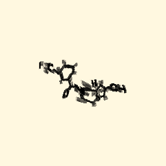 O=C(c1cccc(C(F)(F)F)c1)N1CCN2C[C@H](O)C[C@@H]2C1